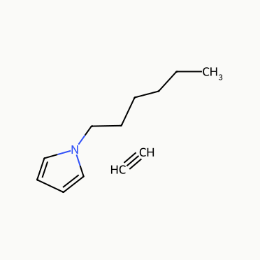 C#C.CCCCCCn1cccc1